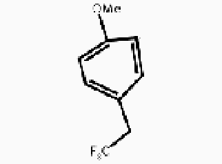 COc1[c]cc(CC(F)(F)F)cc1